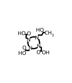 CC(O)CCN1CCN(CC(=O)O)CCN(CC(=O)O)CCN(CC(=O)O)CC1